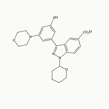 CCOC(=O)c1ccc2c(c1)c(-c1cc(O)cc(N3CCOCC3)c1)nn2C1CCCCO1